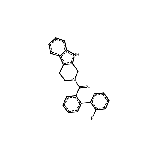 O=C(c1ccccc1-c1ccccc1F)N1CCc2c([nH]c3ccccc23)C1